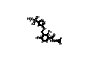 CS(=O)(=O)c1cc(OCc2c(F)ccc(C(=O)NC3CC3)c2F)ns1